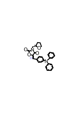 O=C1O/C(=C/c2ccc(N(c3ccccc3)c3ccccc3)cc2)C(=O)N1C[C@H]1CCCO1